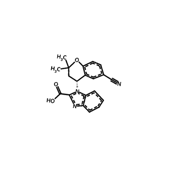 CC1(C)C[C@@H](n2c(C(=O)O)nc3ccccc32)c2cc(C#N)ccc2O1